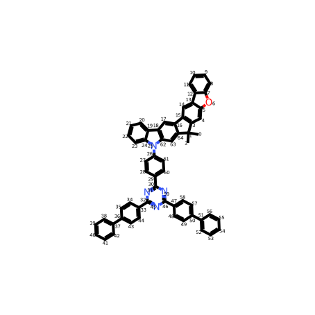 CC1(C)c2cc3oc4ccccc4c3cc2-c2cc3c4ccccc4n(-c4ccc(-c5nc(-c6ccc(-c7ccccc7)cc6)nc(-c6ccc(-c7ccccc7)cc6)n5)cc4)c3cc21